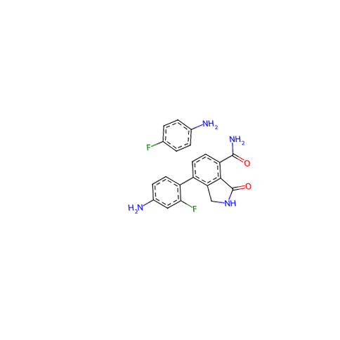 NC(=O)c1ccc(-c2ccc(N)cc2F)c2c1C(=O)NC2.Nc1ccc(F)cc1